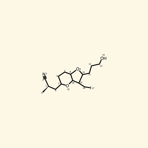 C[C@@H](C#N)CC1CCC2OC(CCCO)C(CI)C2O1